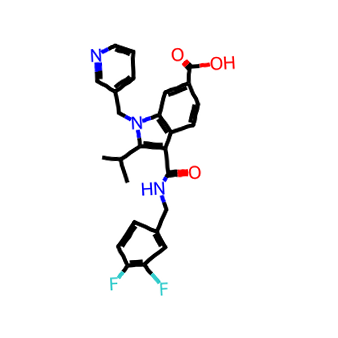 CC(C)c1c(C(=O)NCc2ccc(F)c(F)c2)c2ccc(C(=O)O)cc2n1Cc1cccnc1